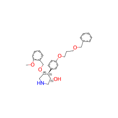 COc1ccccc1CO[C@H]1CNC[C@@H](O)[C@@H]1c1ccc(OCCCOCc2ccccc2)cc1